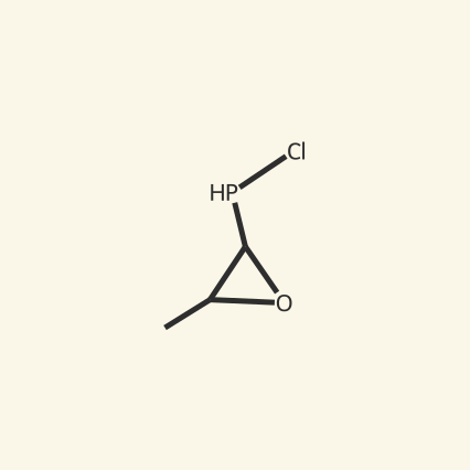 CC1OC1PCl